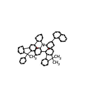 CC1(C)c2ccccc2-c2c(-c3ccccc3N(c3cccc(-c4cccc5ccccc45)c3)c3ccccc3-c3ccc4c(c3)-c3ccccc3C4(C)c3ccccc3)cccc21